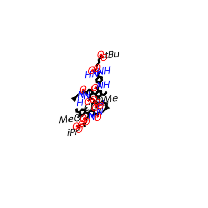 C=Cc1cc(C(=O)O)c(-c2ccc(C(=O)NCC3CC3CC(C)OC(=O)OC(C)OC(=O)c3nc(C(=O)NCC4CC4)ccc3-c3cc(OC)c(C=C)cc3C(=O)Nc3ccc(C(=N)NC(=O)OCCCC(=O)OC(C)(C)C)cc3)nc2C(=O)OC(C)OC(=O)OC(C)C)cc1OC